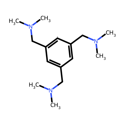 CN(C)Cc1[c]c(CN(C)C)cc(CN(C)C)c1